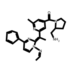 C/C=N\N1C=CC(c2ccccc2)=N/C1=C(/C)c1cc(C(=O)N2CCCC2CN)cc(C)n1